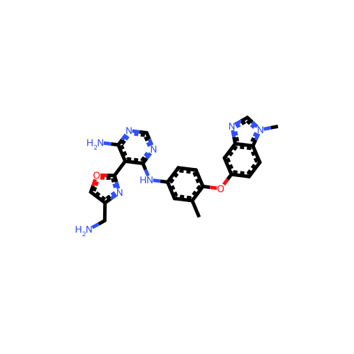 Cc1cc(Nc2ncnc(N)c2-c2nc(CN)co2)ccc1Oc1ccc2c(c1)ncn2C